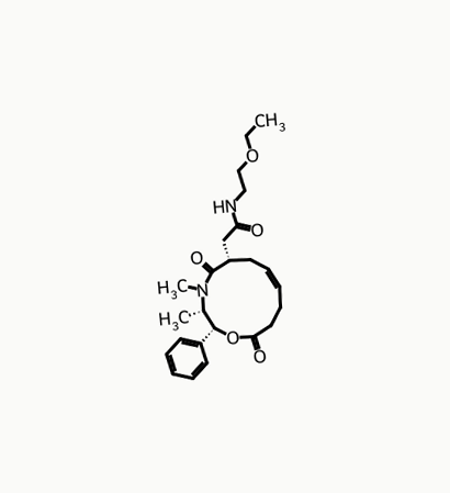 CCOCCNC(=O)C[C@@H]1CC=CCCC(=O)O[C@H](c2ccccc2)[C@H](C)N(C)C1=O